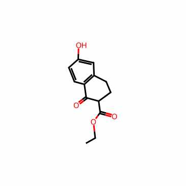 CCOC(=O)C1CCc2cc(O)ccc2C1=O